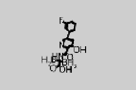 BC(B)(NC(=O)c1ncc(-c2cccc(F)c2)cc1O)C(=O)O